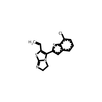 C=CC1=C(c2cc3cccc(Cl)c3s2)N2CCN=C2S1